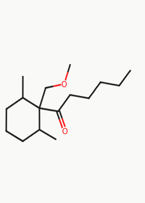 CCCCCC(=O)C1(COC)C(C)CCCC1C